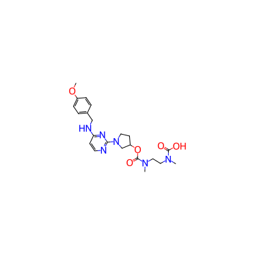 COc1ccc(CNc2ccnc(N3CCC(OC(=O)N(C)CCN(C)C(=O)O)C3)n2)cc1